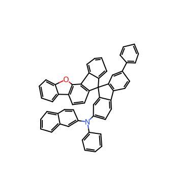 c1ccc(-c2ccc3c(c2)C2(c4cc(N(c5ccccc5)c5ccc6ccccc6c5)ccc4-3)c3ccccc3-c3c2ccc2c3oc3ccccc32)cc1